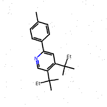 CCC(C)(C)c1cnc(-c2ccc(C)cc2)cc1C(C)(C)CC